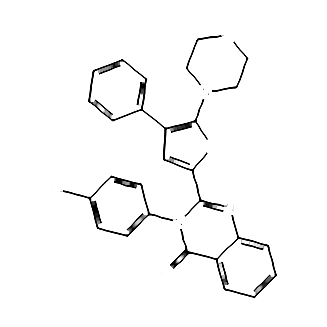 O=c1c2ccccc2nc(-c2cc(-c3ccccc3)c(N3CCOCC3)s2)n1-c1ccc(Cl)cc1